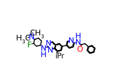 CC(C)c1cc(-c2ccc(NC(=O)Cc3ccccc3)nc2)cc2cnc(N[C@H]3CC[C@H](N(C)C)C(F)C3)nc12